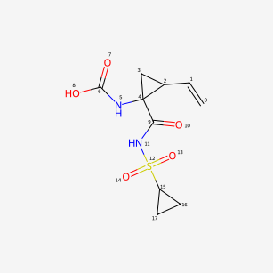 C=CC1CC1(NC(=O)O)C(=O)NS(=O)(=O)C1CC1